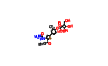 COC(=O)c1sc(-c2ccc(OC(O)C3(O)C(O)C(O)C3CO)c(C(F)(F)F)c2)cc1NC(N)=O